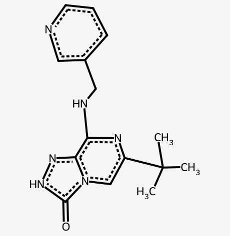 CC(C)(C)c1cn2c(=O)[nH]nc2c(NCc2cccnc2)n1